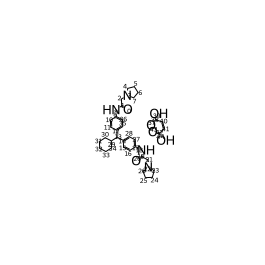 O=C(CN1CCCC1)Nc1ccc(C(c2ccc(NC(=O)CN3CCCC3)cc2)C2CCCCC2)cc1.O=C(O)/C=C\C(=O)O